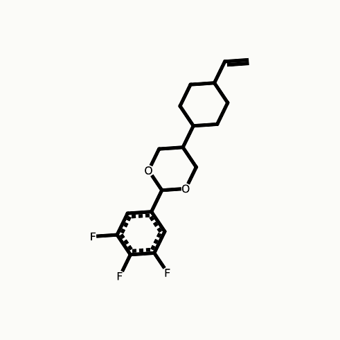 C=CC1CCC(C2COC(c3cc(F)c(F)c(F)c3)OC2)CC1